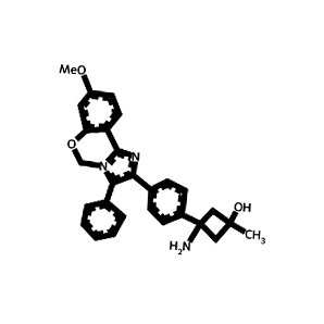 COc1ccc2c(c1)OCn1c-2nc(-c2ccc(C3(N)CC(C)(O)C3)cc2)c1-c1ccccc1